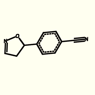 N#Cc1ccc(C2CC=NO2)cc1